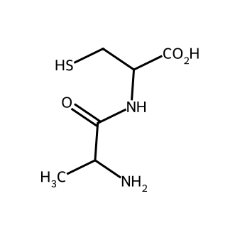 CC(N)C(=O)NC(CS)C(=O)O